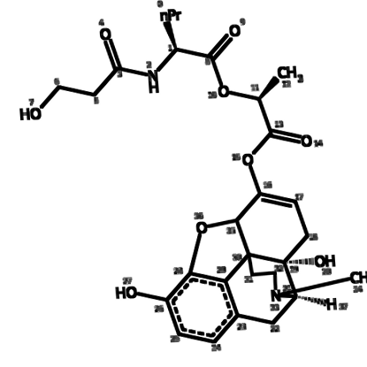 CCC[C@H](NC(=O)CCO)C(=O)O[C@@H](C)C(=O)OC1=CC[C@@]2(O)[C@H]3Cc4ccc(O)c5c4C2(CCN3C)C1O5